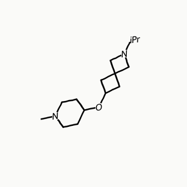 CC(C)N1CC2(CC(OC3CCN(C)CC3)C2)C1